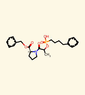 CC(OP(=O)(O)CCCCc1ccccc1)C(=O)N1CCC[C@H]1C(=O)OCc1ccccc1